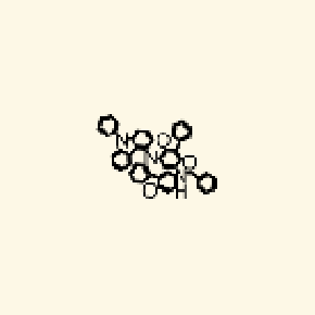 c1ccc(C2Nc3cc(N(c4cccc5oc6ccccc6c45)c4cccc5c4c4ccccc4n5-c4ccccc4)c4oc5ccccc5c4c3O2)cc1